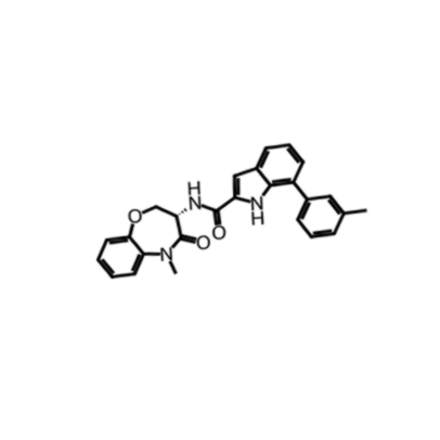 Cc1cccc(-c2cccc3cc(C(=O)N[C@H]4COc5ccccc5N(C)C4=O)[nH]c23)c1